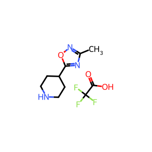 Cc1noc(C2CCNCC2)n1.O=C(O)C(F)(F)F